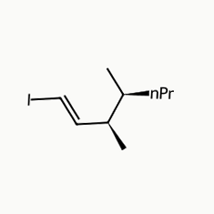 CCC[C@H](C)[C@@H](C)/C=C/I